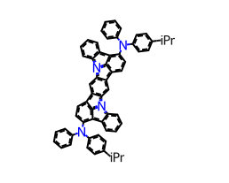 CC(C)c1ccc(N(c2ccccc2)c2ccc3c4cc5c(cc4n4c6ccccc6c2c34)c2ccc(N(c3ccccc3)c3ccc(C(C)C)cc3)c3c4ccccc4n5c23)cc1